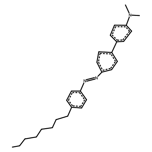 CCCCCCCCc1ccc(N=Nc2ccc(-c3ccc(N(C)C)cc3)cc2)cc1